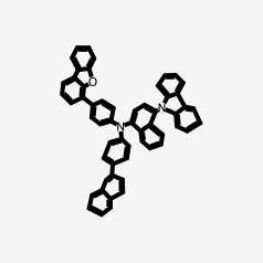 c1ccc2cc(-c3ccc(N(c4ccc(-c5cccc6c5oc5ccccc56)cc4)c4ccc(-n5c6ccccc6c6ccccc65)c5ccccc45)cc3)ccc2c1